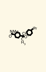 CNC(=O)C1CCC(C(C)(C)OC2CCC(C(C)C)CC2)CC1